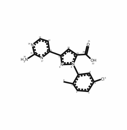 Cc1ccc(Cl)cc1-n1nc(-c2ccnc(N)n2)cc1C(=O)O